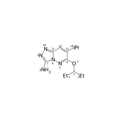 CCC(CC)Oc1nn2c(N)nnc2cc1C(C)C